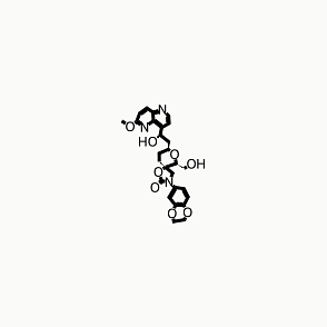 COc1ccc2nccc([C@H](O)C[C@@H]3CC[C@@]4(CN(c5ccc6c(c5)OCCO6)C(=O)O4)[C@@H](CO)O3)c2n1